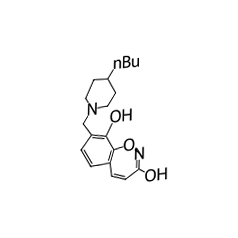 CCCCC1CCN(Cc2ccc3c(c2O)ON=C(O)C=C3)CC1